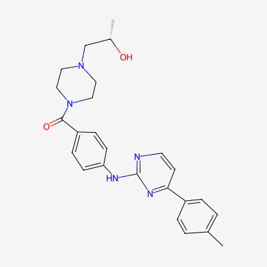 Cc1ccc(-c2ccnc(Nc3ccc(C(=O)N4CCN(C[C@H](C)O)CC4)cc3)n2)cc1